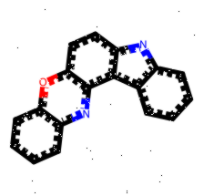 c1ccc2oc3ccc4nc5ccccc5c4c3nc2c1